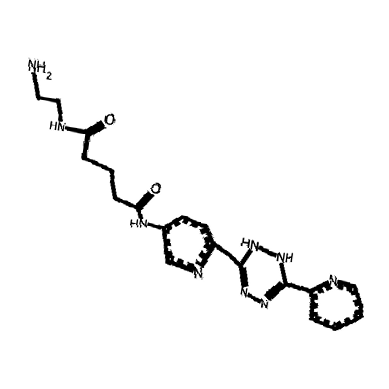 NCCNC(=O)CCCC(=O)Nc1ccc(C2=NN=C(c3ccccn3)NN2)nc1